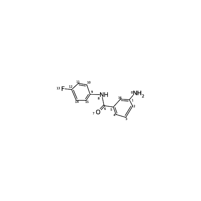 Nc1cccc(C(=O)Nc2ccc(F)cc2)c1